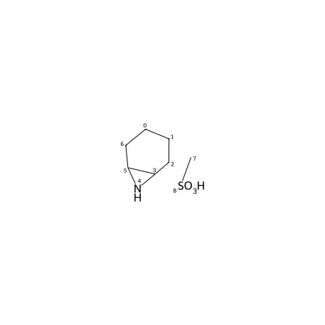 C1CCC2NC2C1.CS(=O)(=O)O